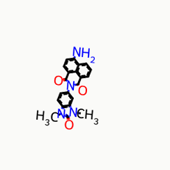 Cn1c(=O)n(C)c2cc(N3C(=O)c4cccc5c(N)ccc(c45)C3=O)ccc21